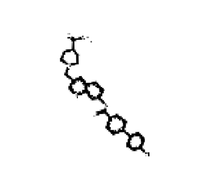 NC(=O)C1CCN(Cc2cnc3cc(NC(=O)c4ccc(-c5ccc(Cl)cc5)cc4)ccc3c2)CC1